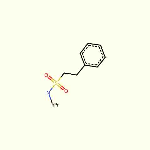 CCC[N]S(=O)(=O)CCc1ccccc1